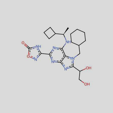 C[C@@H](Nc1nc(-c2noc(=O)[nH]2)nc2nc(C(O)CO)n(CC3CCCCC3)c12)C1CCC1